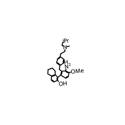 COc1ccc(-c2c(O)ccc3c2CCCC3)c(Cc2ccc(CCN(C)CC(C)C)cc2)c1N